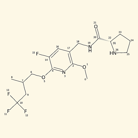 COc1nc(OCC(C)CC(F)(F)F)c(F)cc1CNC(=O)[C@@H]1CCCN1